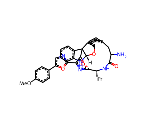 COc1ccc(-c2cnc(-c3nc4oc3C35c6ccccc6N[C@H]3Oc3ccc(cc35)CC(N)C(=O)N[C@H]4C(C)C)o2)cc1